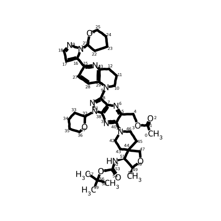 CC(=O)OCc1nc2c(N3CCCc4nc(-c5ccnn5C5CCCCO5)ccc43)nn(C3CCCCO3)c2nc1N1CCC2(CC1)CO[C@@H](C)[C@H]2NC(=O)OC(C)(C)C